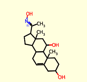 C/C(=N\O)C1CCC2C3CC=C4CC(O)CCC4(C)C3C(O)CC12C